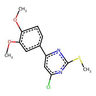 COc1ccc(-c2cc(Cl)nc(SC)n2)cc1OC